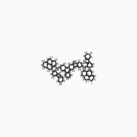 c1cc2ccc3ccc(N(c4ccc5oc6cc7c8ccc(N(c9ccc%10ccc%11cccc%12ccc9c%10c%11%12)c9cccc%10c9sc9ccccc9%10)cc8c8ccccc8c7cc6c5c4)c4cccc5c4sc4ccccc45)c4ccc(c1)c2c34